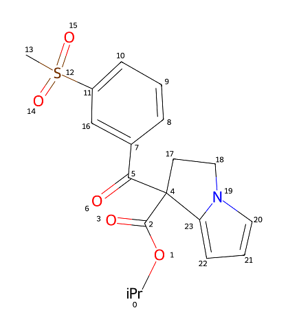 CC(C)OC(=O)C1(C(=O)c2cccc(S(C)(=O)=O)c2)CCn2cccc21